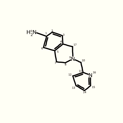 Nc1ccc2c(c1)CCN(Cc1ccccn1)C2